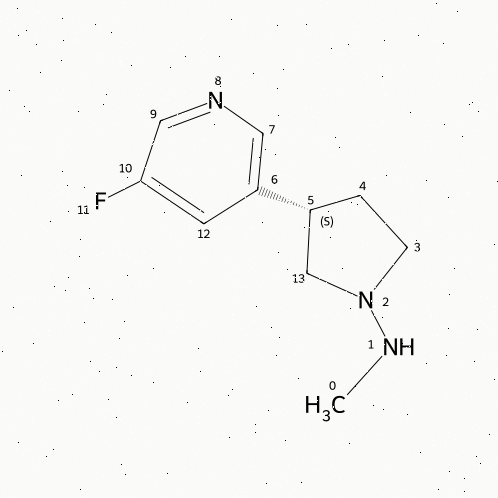 CNN1CC[C@@H](c2cncc(F)c2)C1